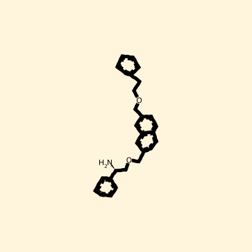 N[C@H](COCc1ccc2ccc(COCCc3ccccc3)cc2c1)c1ccccc1